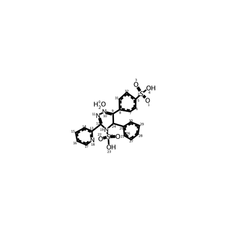 O.O=S(=O)(O)c1ccc(C2=NN=C(c3ccccn3)N(S(=O)(=O)O)C2c2ccccc2)cc1